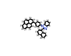 c1ccc2c(-c3nc4ccccc4n3-c3ccc(-c4ccc5ccc6cccc7ccc4c5c67)cc3)cccc2c1